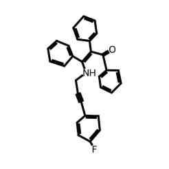 O=C(/C(=C(\NCC#Cc1ccc(F)cc1)c1ccccc1)c1ccccc1)c1ccccc1